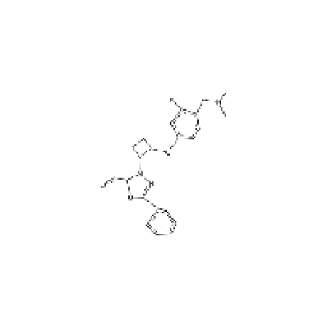 CN(C)Cc1ccc(OC2CCN2N2N=C(c3ccccc3)OC2C=O)cc1F